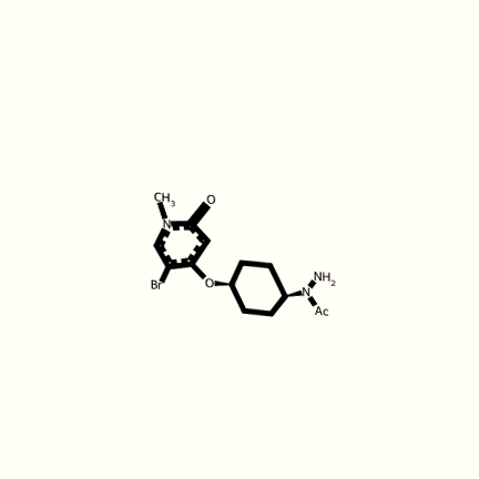 CC(=O)N(N)[C@H]1CC[C@@H](Oc2cc(=O)n(C)cc2Br)CC1